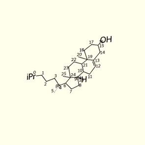 CC(C)CCC[C@@H](C)C1CC[C@H]2C3CC=C4CC(O)CCC4(C)C3CCC12C